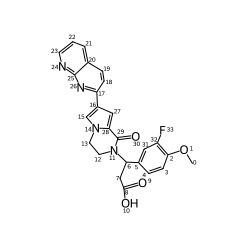 COc1ccc(C(CC(=O)O)N2CCn3cc(-c4ccc5cccnc5n4)cc3C2=O)cc1F